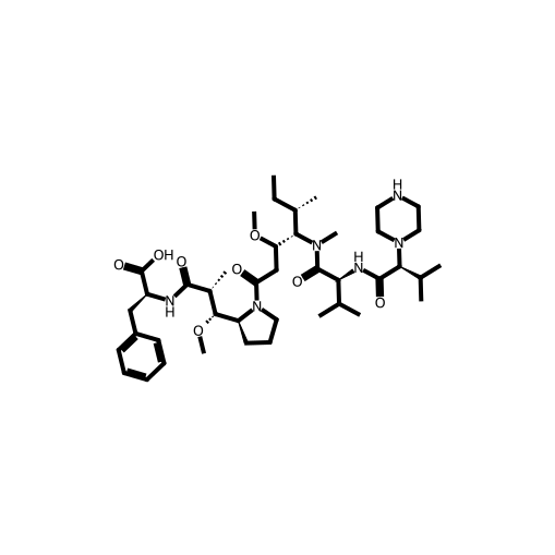 CC[C@H](C)[C@@H](C(CC(=O)N1CCC[C@H]1[C@H](OC)[C@@H](C)C(=O)N[C@@H](Cc1ccccc1)C(=O)O)OC)N(C)C(=O)[C@@H](NC(=O)[C@H](C(C)C)N1CCNCC1)C(C)C